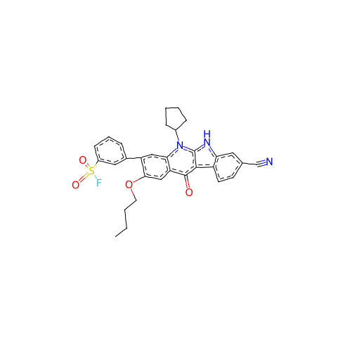 CCCCOc1cc2c(=O)c3c4ccc(C#N)cc4[nH]c3n(C3CCCC3)c2cc1-c1cccc(S(=O)(=O)F)c1